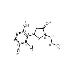 O=C1CC(c2c(O)ccc(Cl)c2Cl)CN1CCO